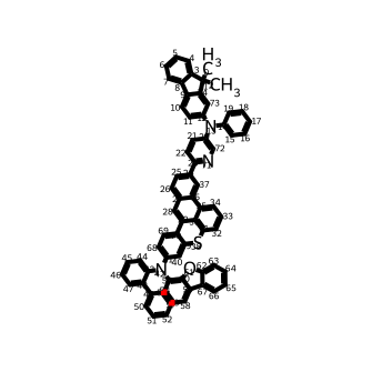 CC1(C)c2ccccc2-c2ccc(N(c3ccccc3)c3ccc(-c4ccc5cc6c7c(cccc7c5c4)Sc4cc(N(c5ccccc5-c5ccccc5)c5cccc7c5oc5ccccc57)ccc4-6)nc3)cc21